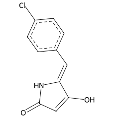 O=C1C=C(O)C(=Cc2ccc(Cl)cc2)N1